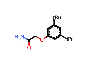 CC(C)c1cc(OCC(N)=O)cc(C(C)(C)C)c1